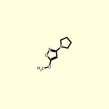 COc1cc(N2CCCC2)no1